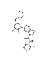 O=C(Nc1cnccc1F)c1n[nH]c2ccc(-c3cc(CN4CCCCC4)cc(F)c3F)cc12